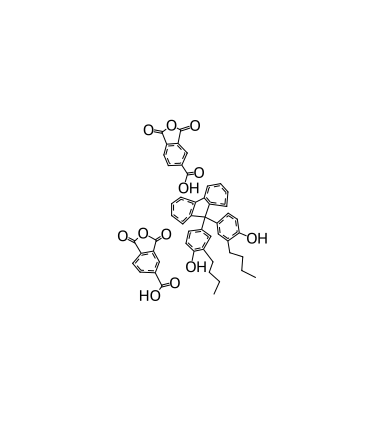 CCCCc1cc(C2(c3ccc(O)c(CCCC)c3)c3ccccc3-c3ccccc32)ccc1O.O=C(O)c1ccc2c(c1)C(=O)OC2=O.O=C(O)c1ccc2c(c1)C(=O)OC2=O